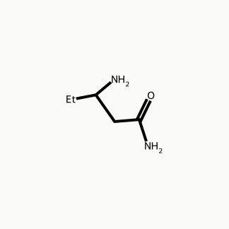 CCC(N)CC(N)=O